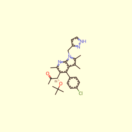 CC(=O)[C@@H](OC(C)(C)C)c1c(C)nc2c(c(C)c(C)n2Cc2cc[nH]n2)c1-c1ccc(Cl)cc1